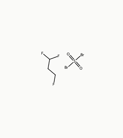 FCCC(F)F.O=S(=O)(Br)Br